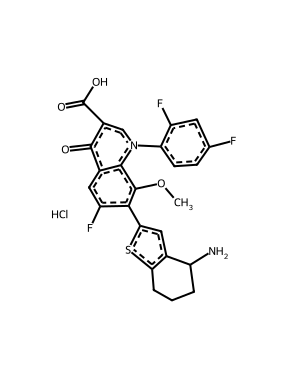 COc1c(-c2cc3c(s2)CCCC3N)c(F)cc2c(=O)c(C(=O)O)cn(-c3ccc(F)cc3F)c12.Cl